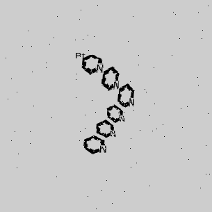 [Pt].c1ccncc1.c1ccncc1.c1ccncc1.c1ccncc1.c1ccncc1.c1ccncc1